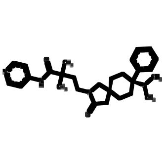 CN(C)[C@]1(c2ccccc2)CC[C@@]2(CC1)CC(=O)N(CCC(C)(C)C(=O)Nc1ccncc1)C2